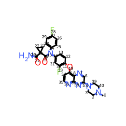 CN1CCN(c2cnc3c(Oc4ccc(N(C(=O)C5(C(N)=O)CC5)c5ccc(F)cc5)cc4F)ccnc3n2)CC1